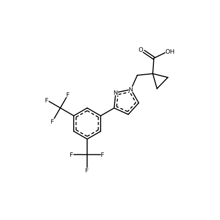 O=C(O)C1(Cn2ccc(-c3cc(C(F)(F)F)cc(C(F)(F)F)c3)n2)CC1